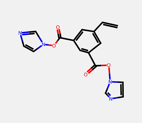 C=Cc1cc(C(=O)On2ccnc2)cc(C(=O)On2ccnc2)c1